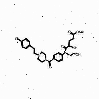 COC(=O)CCC(S)C(=O)N(CCO)c1ccc(C(=O)N2CCN(CCc3ccc(Cl)cc3)CC2)cc1